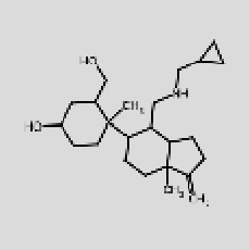 C=C1CCC2C(CNCC3CC3)C(C3(C)CCC(O)CC3CO)CCC12C